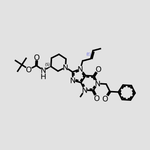 C/C=C/Cn1c(N2CCC[C@H](NC(=O)OC(C)(C)C)C2)nc2c1c(=O)n(CC(=O)c1ccccc1)c(=O)n2C